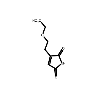 O=C(O)COCCC1=CC(=O)NC1=O